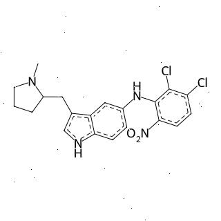 CN1CCCC1Cc1c[nH]c2ccc(Nc3c([N+](=O)[O-])ccc(Cl)c3Cl)cc12